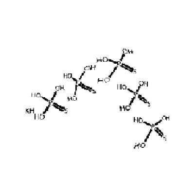 OP(O)(O)=S.OP(O)(O)=S.OP(O)(O)=S.OP(O)(O)=S.OP(O)(O)=S.[KH]